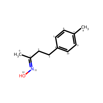 CC(CCc1ccc(C)cc1)=NO